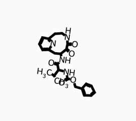 CC(C)C(NC(=O)OCc1ccccc1)C(=O)NC1Cc2cccc(n2)CCNC(=O)C1=O